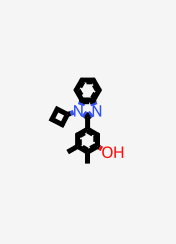 Cc1cc(-c2nc3ccccc3n2C2CCC2)cc(O)c1C